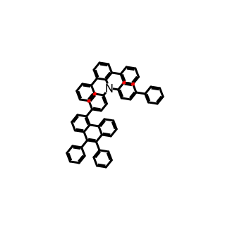 c1ccc(-c2ccc(N(c3ccc(-c4cccc5c(-c6ccccc6)c(-c6ccccc6)c6ccccc6c45)cc3)c3c(-c4ccccc4)cccc3-c3ccccc3)cc2)cc1